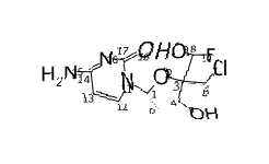 C[C@@H](OC(CO)(CCl)[C@@H](O)F)n1ccc(N)nc1=O